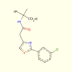 CCCC(C)(NC(=O)Cc1csc(-c2cccc(Cl)c2)n1)C(=O)O